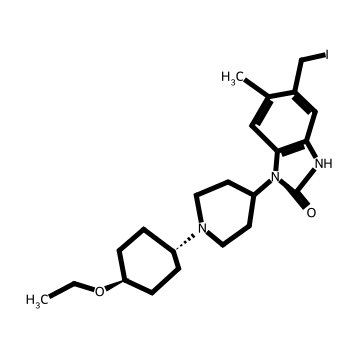 CCO[C@H]1CC[C@H](N2CCC(n3c(=O)[nH]c4cc(CI)c(C)cc43)CC2)CC1